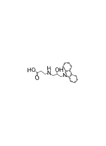 O=C(O)CCNCC(O)Cn1c2ccccc2c2ccccc21